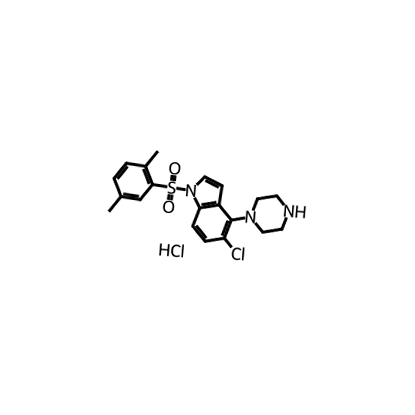 Cc1ccc(C)c(S(=O)(=O)n2ccc3c(N4CCNCC4)c(Cl)ccc32)c1.Cl